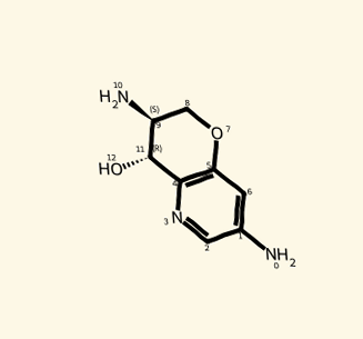 Nc1cnc2c(c1)OC[C@H](N)[C@H]2O